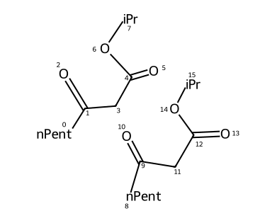 CCCCCC(=O)CC(=O)OC(C)C.CCCCCC(=O)CC(=O)OC(C)C